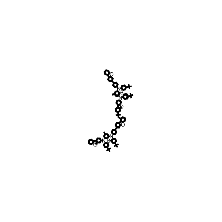 Cc1cc2c3c(c1)N(c1ccc4c(c1)oc1ccccc14)c1ccc(C(C)(C)C)cc1B3c1cc(C(C)(C)C)ccc1N2c1ccc(-c2ccc3c(c2)oc2cccc(CC(C)(C)c4ccc5c(c4)oc4cc(N6c7ccc(C(C)(C)C)cc7B7c8cc(C(C)(C)C)ccc8N(c8ccc(-c9ccc%10c(c9)oc9ccccc9%10)cc8)c8cc(C)cc6c87)ccc45)c23)cc1